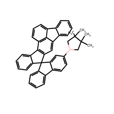 CC1(C)CB(c2ccc3c(c2)C2(c4ccccc4-3)c3ccccc3-c3c2cc2c4c(cccc34)-c3ccccc3-2)CC1(C)C